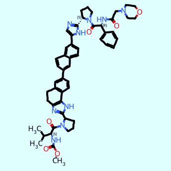 COC(=O)N[C@H](C(=O)N1CCCC1c1nc2c([nH]1)-c1ccc(-c3ccc4cc(-c5cnc([C@@H]6CCCN6C(=O)[C@H](NC(=O)CN6CCOCC6)c6ccccc6)[nH]5)ccc4c3)cc1CC2)C(C)C